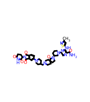 Cc1cc(Nc2nc(N3CCC[C@@H](N4CCC5(CCN(CC6CCN(c7ccc8c(c7)C(=O)N(C7CCC(=O)NC7=O)C8=O)CC6)CC5)C4=O)C3)cnc2C(N)=O)sn1